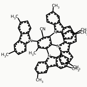 Cc1ccc2c(c1)c1cc(C)ccc1n2-c1c(C)c(-n2c3ccc(C)cc3c3cc(C)ccc32)c(-n2c3ccc(C)cc3c3cc(C)ccc32)c(-n2c3ccc(C)cc3c3cc(C)ccc32)c1C#N